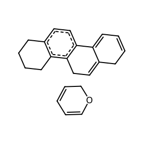 C1=CCC2=CCc3c(ccc4c3CCCC4)C2=C1.C1=CCOC=C1